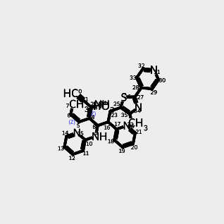 C#C/C(N)=C(\C=C/C)C(Nc1ccccn1)C(c1ccccn1)C(O)c1sc(-c2ccncc2)nc1C